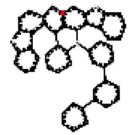 c1ccc(-c2cccc(-c3cccc(N(c4ccccc4-c4cccc5ccc6sc7ccccc7c6c45)c4cccc5oc6ccccc6c45)c3)c2)cc1